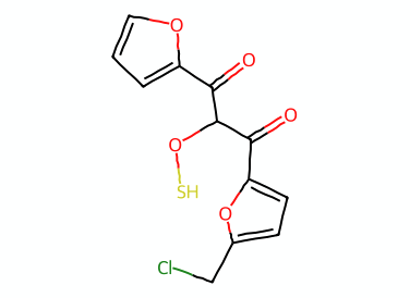 O=C(c1ccco1)C(OS)C(=O)c1ccc(CCl)o1